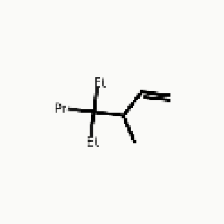 C=CC(C)C(CC)(CC)C(C)C